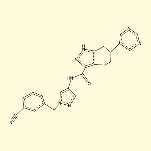 N#Cc1cccc(Cn2cc(NC(=O)c3n[nH]c4c3CCC(c3cncnc3)C4)cn2)c1